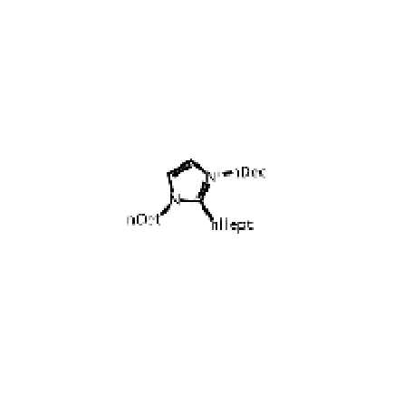 CCCCCCCCCC[n+]1ccn(CCCCCCCC)c1CCCCCCC